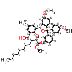 CCCCCCCCCC(Oc1c(CO)cc(C)cc1COC(c1ccccc1)(c1ccc(OC)cc1)c1ccc(OC)cc1)C(=O)OC